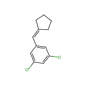 Clc1cc(Cl)cc(C=C2CCCC2)c1